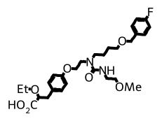 CCOC(Cc1ccc(OCCN(CCCCOCc2ccc(F)cc2)C(=O)NCCOC)cc1)C(=O)O